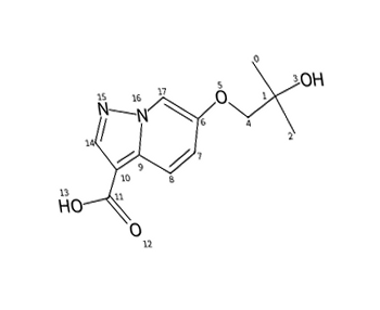 CC(C)(O)COc1ccc2c(C(=O)O)cnn2c1